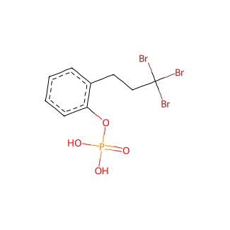 O=P(O)(O)Oc1ccccc1CCC(Br)(Br)Br